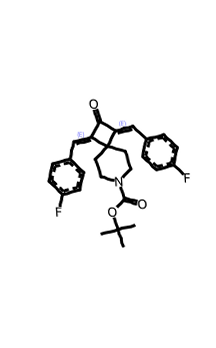 CC(C)(C)OC(=O)N1CCC2(CC1)/C(=C\c1ccc(F)cc1)C(=O)/C2=C/c1ccc(F)cc1